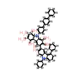 Bc1c(B)c(B)c2c(c1B)c1c(B)c(-c3ccc4c(c3)c3c(-c5ccccc5)cccc3n4-c3ccccc3)c(B)c(B)c1n2-c1ccc(-c2ccc(-c3ccccc3)cc2)cc1